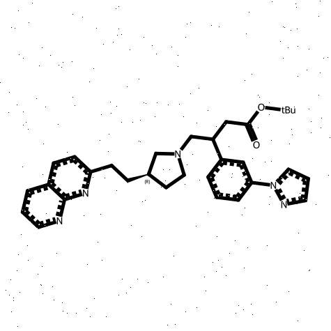 CC(C)(C)OC(=O)CC(CN1CC[C@@H](CCc2ccc3cccnc3n2)C1)c1cccc(-n2cccn2)c1